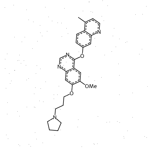 COc1cc2c(Oc3ccc4c(C)ccnc4c3)ncnc2cc1OCCCN1CCCC1